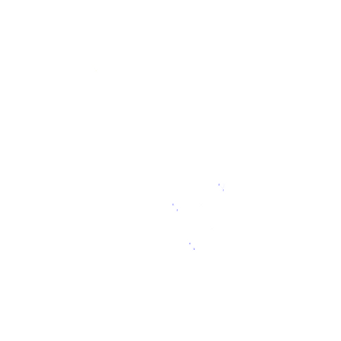 c1ccc2c(c1)[nH]c1c2nc2c3ccccc3c3cc(-c4cccc5sc6ccccc6c45)ccc3n21